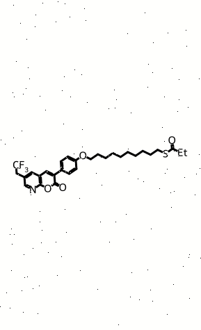 CCC(=O)SCCCCCCCCCCOc1ccc(-c2cc3cc(CC(F)(F)F)cnc3oc2=O)cc1